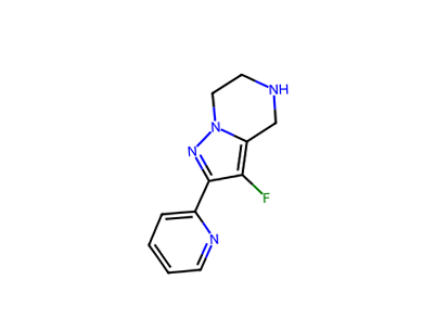 Fc1c(-c2ccccn2)nn2c1CNCC2